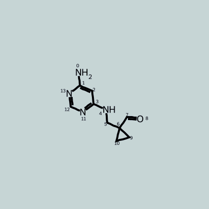 Nc1cc(NCC2(C=O)CC2)ncn1